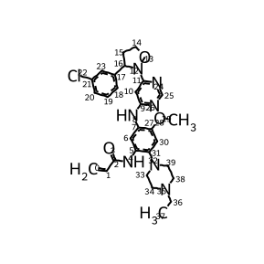 C=CC(=O)Nc1cc(Nc2cc(N3OCCC3c3cccc(Cl)c3)ncn2)c(OC)cc1N1CCN(CC)CC1